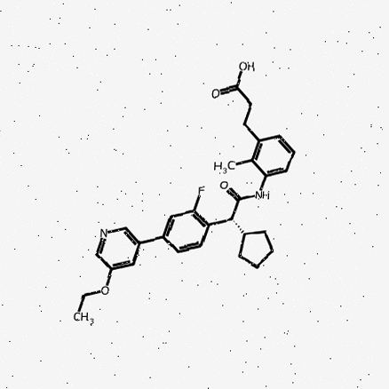 CCOc1cncc(-c2ccc([C@H](C(=O)Nc3cccc(CCC(=O)O)c3C)C3CCCC3)c(F)c2)c1